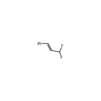 CC(C)C=C[C](F)F